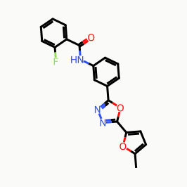 Cc1ccc(-c2nnc(-c3cccc(NC(=O)c4ccccc4F)c3)o2)o1